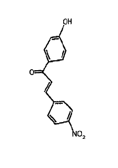 O=C(C=Cc1ccc([N+](=O)[O-])cc1)c1ccc(O)cc1